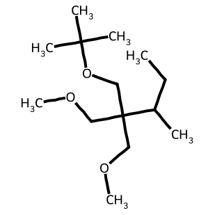 CCC(C)C(COC)(COC)COC(C)(C)C